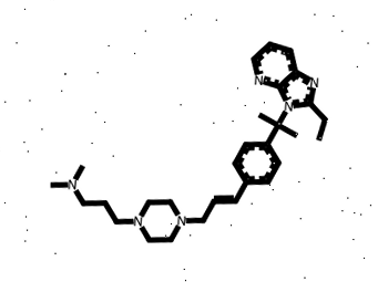 CCc1nc2cccnc2n1C(C)(C)c1ccc(C=CCN2CCN(CCCN(C)C)CC2)cc1